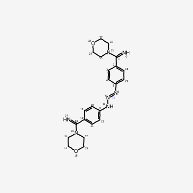 N=C(c1ccc(/N=N/Nc2ccc(C(=N)N3CCOCC3)cc2)cc1)N1CCOCC1